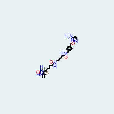 Nc1ccnc(OCc2ccc(CNC(=O)CCCCCNC(=O)CCCC[C@@H]3SC[C@@H]4NC(=O)N[C@@H]43)cc2)n1